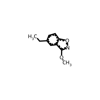 CCc1ccc2onc(OC)c2c1